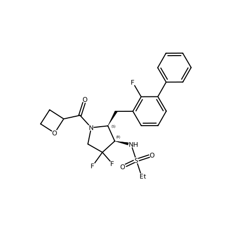 CCS(=O)(=O)N[C@@H]1[C@H](Cc2cccc(-c3ccccc3)c2F)N(C(=O)C2CCO2)CC1(F)F